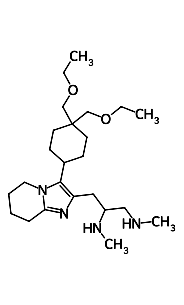 CCOCC1(COCC)CCC(c2c(CC(CNC)NC)nc3n2CCCC3)CC1